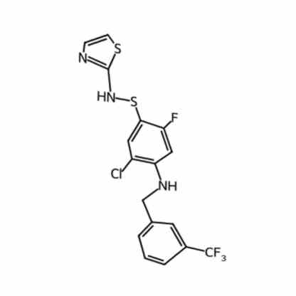 Fc1cc(NCc2cccc(C(F)(F)F)c2)c(Cl)cc1SNc1nccs1